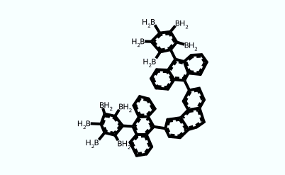 Bc1c(B)c(B)c(-c2c3ccccc3c(-c3ccc4ccc5ccc(-c6c7ccccc7c(-c7c(B)c(B)c(B)c(B)c7B)c7ccccc67)cc5c4c3)c3ccccc23)c(B)c1B